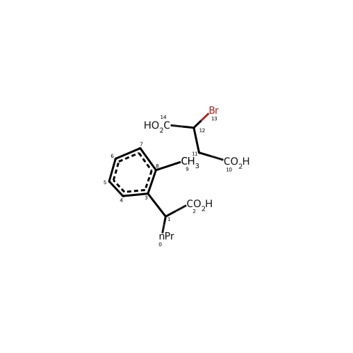 CCCC(C(=O)O)c1ccccc1C.O=C(O)CC(Br)C(=O)O